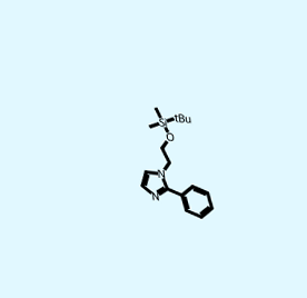 CC(C)(C)[Si](C)(C)OCCn1ccnc1-c1ccccc1